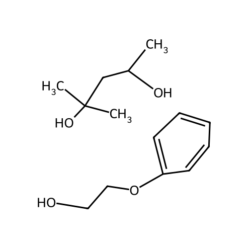 CC(O)CC(C)(C)O.OCCOc1ccccc1